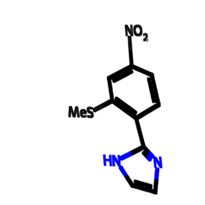 CSc1cc([N+](=O)[O-])ccc1-c1ncc[nH]1